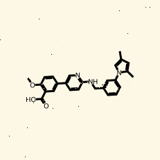 COc1ccc(-c2ccc(NCc3cccc(-n4cc(C)cc4C)c3)nc2)cc1C(=O)O